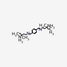 CCC(C)(N)CC/N=C/c1ccc(/C=N/CCC(C)(N)CC)cc1